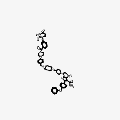 NC(=O)c1c(-c2ccc(Oc3ccccc3)cc2)nn2c1NCC[C@H]2C1CCC(N2CCN(Cc3ccc(N4CCN(C(=O)c5cccc(N6CCC(=O)NC6=O)c5)CC4)cc3)CC2)CC1